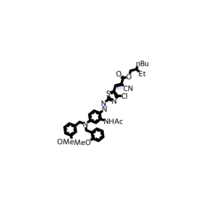 CCCCC(CC)COC(=O)/C(C#N)=C/c1sc(/N=N/c2ccc(N(Cc3cccc(OC)c3)Cc3ccccc3OC)cc2NC(C)=O)nc1Cl